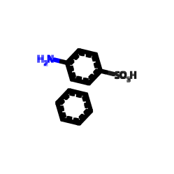 Nc1ccc(S(=O)(=O)O)cc1.c1ccccc1